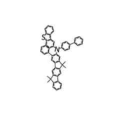 CC1(C)c2ccccc2-c2cc3c(cc21)-c1cc(-c2ccccc2)c(N(c2ccc(-c4ccccc4)cc2)c2ccc4sc5ccccc5c4c2)cc1C3(C)C